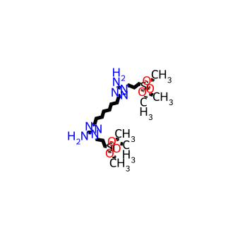 CCO[Si](CCCn1nc(CCCCCCc2nc(N)n(CCC[Si](OCC)(OCC)OCC)n2)nc1N)(OCC)OCC